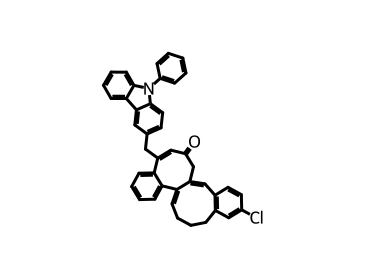 O=C1/C=C(/Cc2ccc3c(c2)c2ccccc2n3-c2ccccc2)c2ccccc2C2=C/CCCc3cc(Cl)ccc3/C=C\2C1